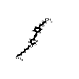 CCCCCCCCOc1ccc(C#Cc2ccc(CCCCC)cc2)nc1